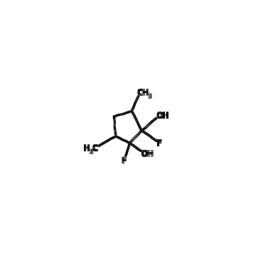 CC1CC(C)C(O)(F)C1(O)F